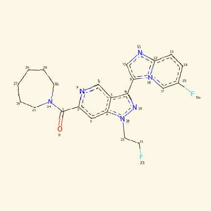 O=C(c1cc2c(cn1)c(-c1cnc3ccc(F)cn13)nn2CCF)N1CCCCCC1